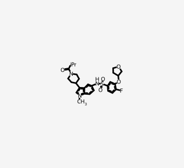 CC(C)C(=O)N1CCC(c2cn(C)c3ccc(NS(=O)(=O)c4ccc(F)c(OC5CCOC5)c4)cc23)CC1